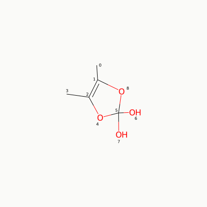 CC1=C(C)OC(O)(O)O1